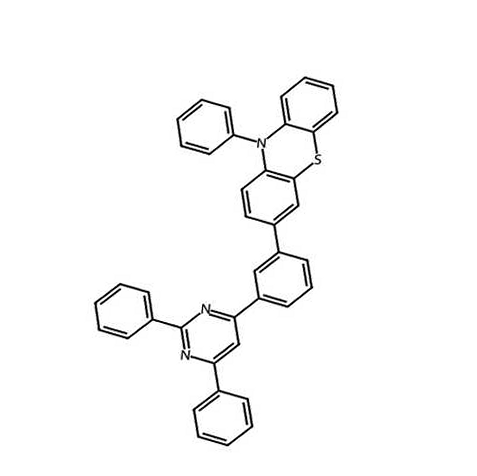 c1ccc(-c2cc(-c3cccc(-c4ccc5c(c4)Sc4ccccc4N5c4ccccc4)c3)nc(-c3ccccc3)n2)cc1